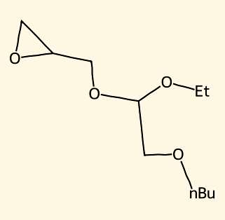 CCCCOCC(OCC)OCC1CO1